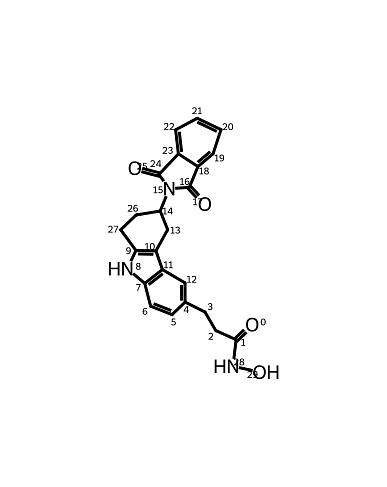 O=C(CCc1ccc2[nH]c3c(c2c1)CC(N1C(=O)c2ccccc2C1=O)CC3)NO